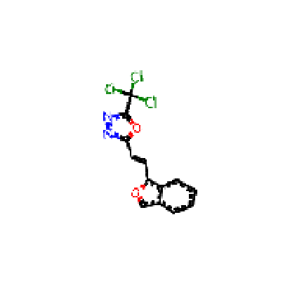 ClC(Cl)(Cl)c1nnc(C=Cc2occ3ccccc23)o1